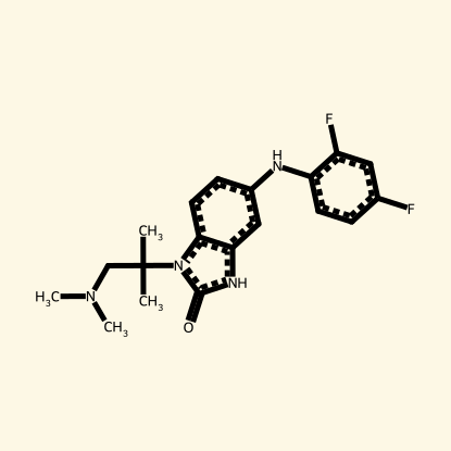 CN(C)CC(C)(C)n1c(=O)[nH]c2cc(Nc3ccc(F)cc3F)ccc21